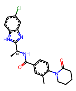 Cc1cc(C(=O)N[C@@H](C)c2nc3cc(Cl)ccc3[nH]2)ccc1N1CCCCC1=O